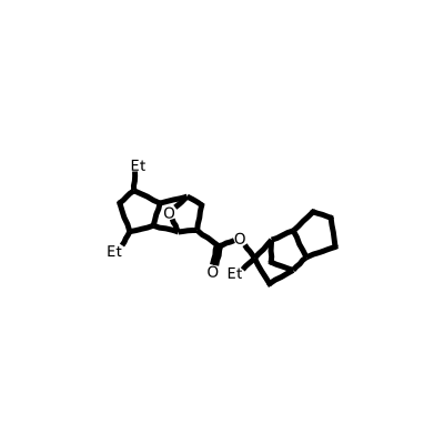 CCC1CC(CC)C2C3OC(CC3C(=O)OC3(CC)CC4CC3C3CCCC43)C12